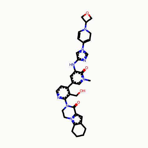 Cn1cc(-c2ccnc(N3CCn4c(cc5c4CCCC5)C3=O)c2CO)cc(Nc2cn(C3=CCN(C4COC4)C=C3)cn2)c1=O